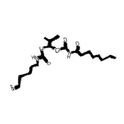 C=C(C)C(OC(=O)NCCCCCBr)OC(=O)NC(=O)CCCCCCC